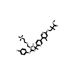 COC(=O)C(C)(C)COc1cc(C)c(-c2ccc(C3(C)N=C(Oc4ccc(F)cc4)N(COCC[Si](C)(C)C)N3)nc2)cn1